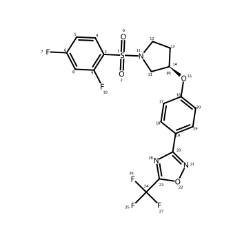 O=S(=O)(c1ccc(F)cc1F)N1CC[C@@H](Oc2ccc(-c3noc(C(F)(F)F)n3)cc2)C1